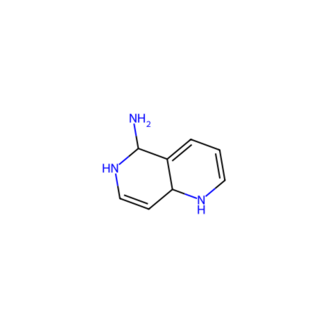 NC1NC=CC2NC=CC=C12